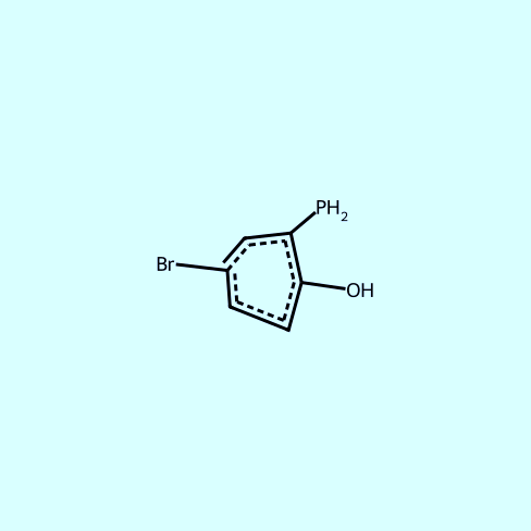 Oc1ccc(Br)cc1P